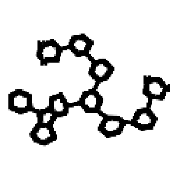 c1ccc(-n2c3ccccc3c3cc(-c4cc(-c5cccc(-c6cccc(-c7cncnc7)c6)c5)cc(-c5cccc(-c6cccc(-c7cncnc7)c6)c5)c4)ccc32)cc1